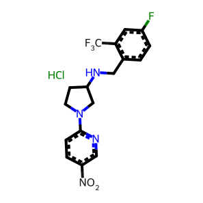 Cl.O=[N+]([O-])c1ccc(N2CCC(NCc3ccc(F)cc3C(F)(F)F)C2)nc1